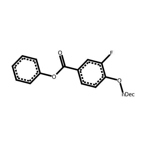 CCCCCCCCCCOc1ccc(C(=O)Oc2ccccc2)cc1F